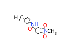 Cc1ccc(NC(=O)C2CCC3C(=O)N(C)C(=O)C3C2)cc1